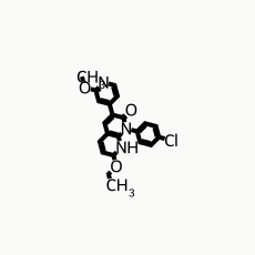 CCOC1C=Cc2cc(-c3ccnc(OC)c3)c(=O)n(-c3ccc(Cl)cc3)c2N1